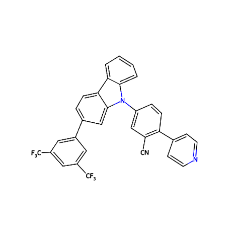 N#Cc1cc(-n2c3ccccc3c3ccc(-c4cc(C(F)(F)F)cc(C(F)(F)F)c4)cc32)ccc1-c1ccncc1